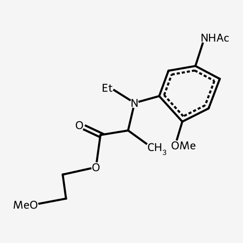 CCN(c1cc(NC(C)=O)ccc1OC)C(C)C(=O)OCCOC